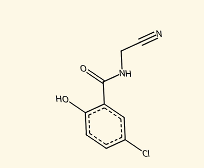 N#CCNC(=O)c1cc(Cl)ccc1O